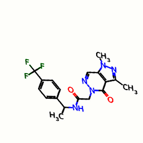 Cc1nn(C)c2cnn(CC(=O)NC(C)c3ccc(C(F)(F)F)cc3)c(=O)c12